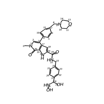 Cn1cc(-c2ccc(CN3CCOCC3)cc2)c2cc(C(=O)NCc3ccc(C(O)NO)cc3)[nH]c2c1=O